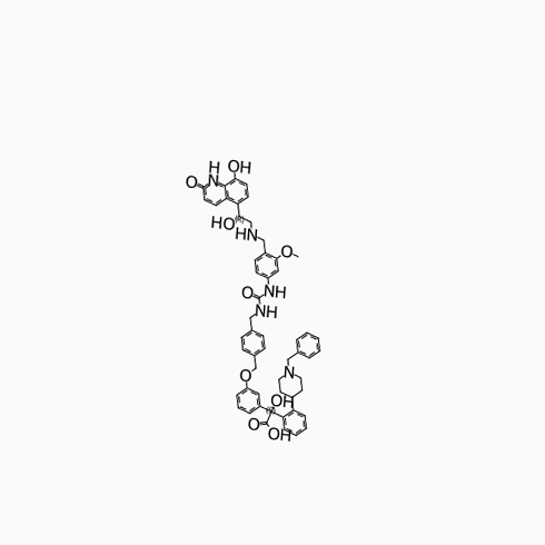 COc1cc(NC(=O)NCc2ccc(COc3cccc([C@@](O)(C(=O)O)c4ccccc4C4CCN(Cc5ccccc5)CC4)c3)cc2)ccc1CNC[C@H](O)c1ccc(O)c2[nH]c(=O)ccc12